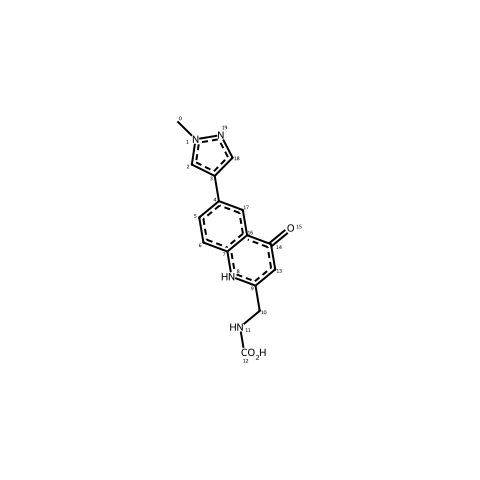 Cn1cc(-c2ccc3[nH]c(CNC(=O)O)cc(=O)c3c2)cn1